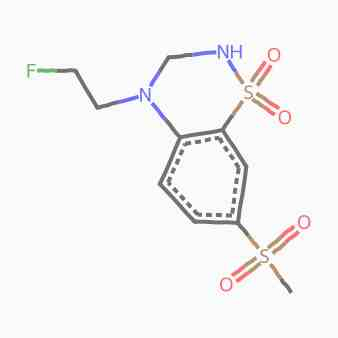 CS(=O)(=O)c1ccc2c(c1)S(=O)(=O)NCN2CCF